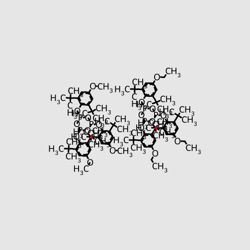 CCOc1cc(C(C)(C)C)c(OP2OP(Oc3c(C(C)(C)C)cc(OCC)cc3C(C)(C)C)OP(Oc3c(C(C)(C)C)cc(OCC)cc3C(C)(C)C)O2)c(C(C)(C)C)c1.COc1cc(C(C)(C)C)c(OP2OP(Oc3c(C(C)(C)C)cc(OC)cc3C(C)(C)C)OP(Oc3c(C(C)(C)C)cc(OC)cc3C(C)(C)C)O2)c(C(C)(C)C)c1